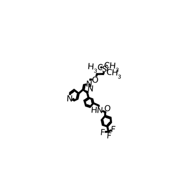 C[Si](C)(C)CCOCn1cc(-c2ccncc2)c(-c2cccc(CNC(=O)c3ccc(C(F)(F)F)cc3)c2)n1